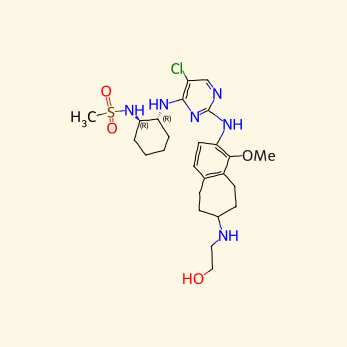 COc1c(Nc2ncc(Cl)c(N[C@@H]3CCCC[C@H]3NS(C)(=O)=O)n2)ccc2c1CCC(NCCO)CC2